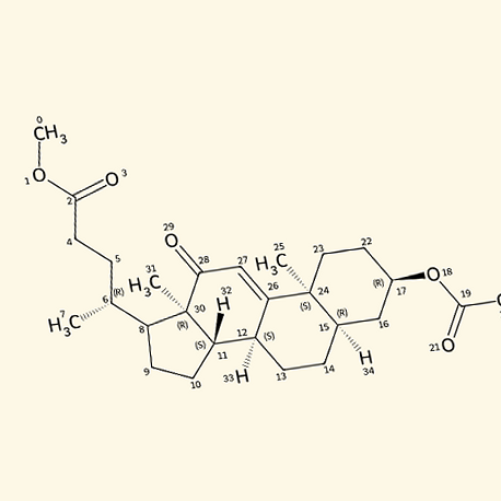 COC(=O)CC[C@@H](C)C1CC[C@H]2[C@@H]3CC[C@@H]4C[C@H](OC(C)=O)CC[C@]4(C)C3=CC(=O)[C@]12C